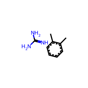 Cc1ccccc1C.N=C(N)N